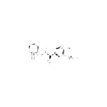 COc1cc(C(=O)NC[C@H]2CCCCN2)ccc1N